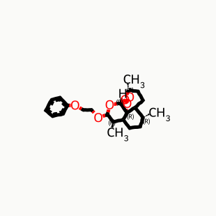 C[C@H]1C(OCCOc2ccccc2)O[C@@H]2O[C@]3(C)CCC4[C@H](C)CCC1[C@]42OO3